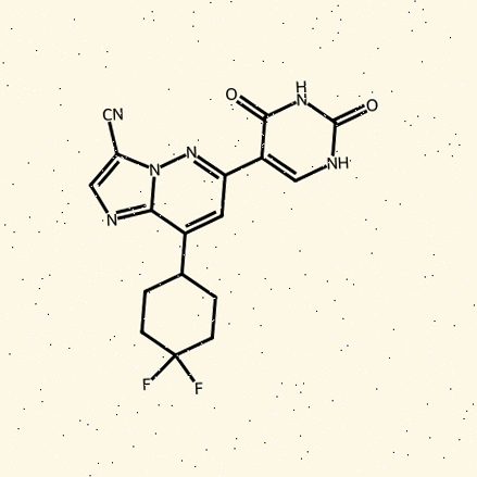 N#Cc1cnc2c(C3CCC(F)(F)CC3)cc(-c3c[nH]c(=O)[nH]c3=O)nn12